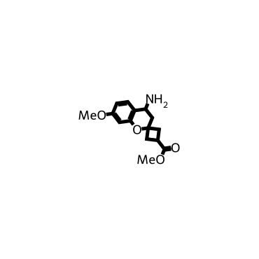 COC(=O)C1CC2(C1)CC(N)c1ccc(OC)cc1O2